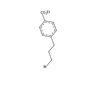 CCOC(=O)c1ccc(CCCBr)cc1